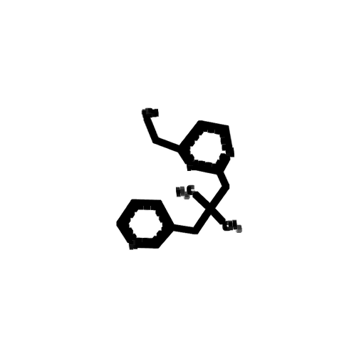 CC(C)(C)Cc1ccnc(CC(C)(C)Cc2cccnc2)n1